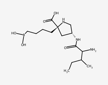 CCC(C)C(N)C(=O)N[C@H]1CN[C@@](CCCCB(O)O)(C(=O)O)C1